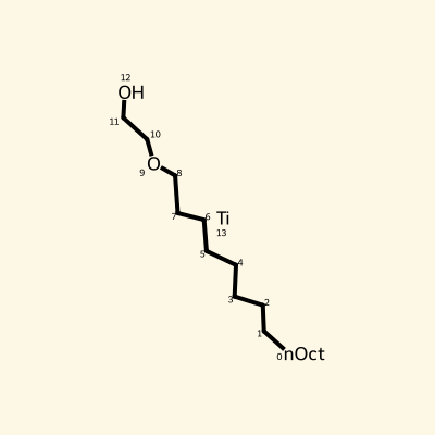 CCCCCCCCCCCCCCCCOCCO.[Ti]